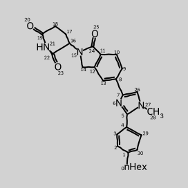 CCCCCCc1ccc(-c2nc(-c3ccc4c(c3)CN(C3CCC(=O)NC3=O)C4=O)cn2C)cc1